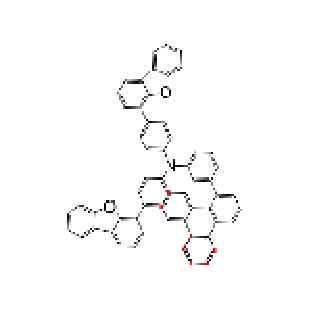 c1ccc(-c2ccccc2-c2c(-c3ccccc3)cccc2-c2cccc(N(c3ccc(-c4cccc5c4oc4ccccc45)cc3)c3ccc(-c4cccc5c4oc4ccccc45)cc3)c2)cc1